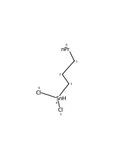 CCCCC[CH2][SnH]([Cl])[Cl]